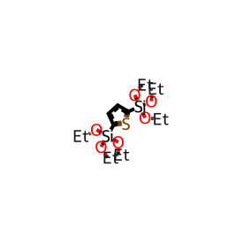 CCO[Si](OCC)(OCC)c1ccc([Si](OCC)(OCC)OCC)s1